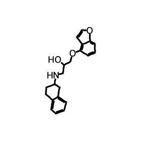 OC(CNC1CCc2ccccc2C1)COc1cccc2occc12